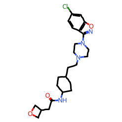 O=C(CC1COC1)NC1CCC(CCN2CCN(c3noc4cc(Cl)ccc34)CC2)CC1